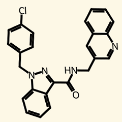 O=C(NCc1cnc2ccccc2c1)c1nn(Cc2ccc(Cl)cc2)c2ccccc12